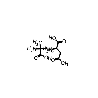 CC(N)(N)C(=O)O.NC(CC(=O)O)C(=O)O